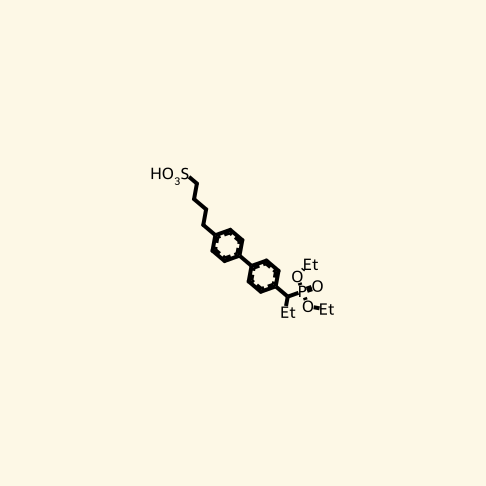 CCOP(=O)(OCC)C(CC)c1ccc(-c2ccc(CCCCS(=O)(=O)O)cc2)cc1